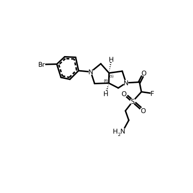 NCCS(=O)(=O)C(F)C(=O)N1C[C@@H]2CN(c3ccc(Br)cc3)C[C@@H]2C1